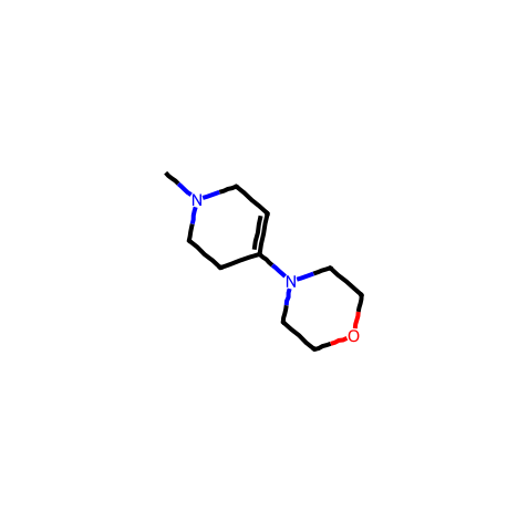 CN1CC=C(N2CCOCC2)CC1